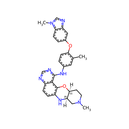 Cc1cc(Nc2ncnc3ccc4c(c23)O[C@H]2CCN(C)C[C@H]2N4)ccc1Oc1ccc2c(c1)ncn2C